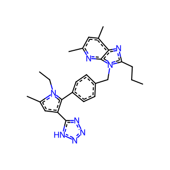 CCCc1nc2c(C)cc(C)nc2n1Cc1ccc(-c2c(-c3nnn[nH]3)cc(C)n2CC)cc1